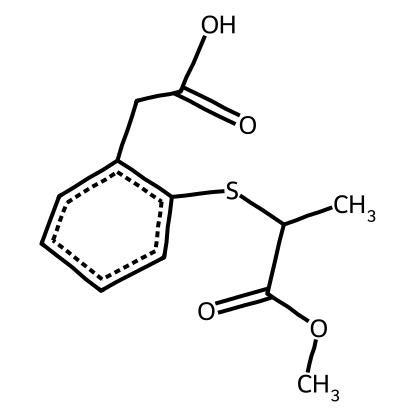 COC(=O)C(C)Sc1ccccc1CC(=O)O